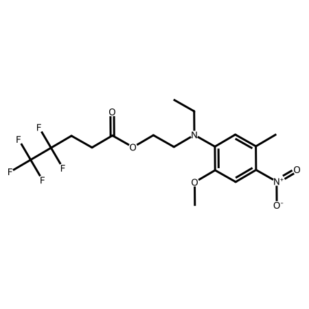 CCN(CCOC(=O)CCC(F)(F)C(F)(F)F)c1cc(C)c([N+](=O)[O-])cc1OC